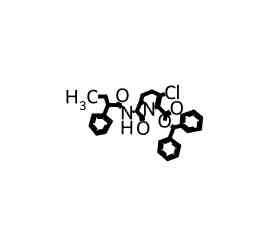 CCC(C(=O)N[C@@H]1C(=O)N2C(C(=O)OC(c3ccccc3)c3ccccc3)=C(Cl)CCC12)c1ccccc1